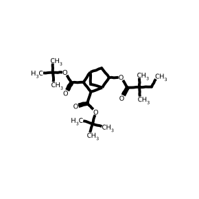 CCC(C)(C)C(=O)OC1CC2CC1C(C(=O)OC(C)(C)C)C2C(=O)OC(C)(C)C